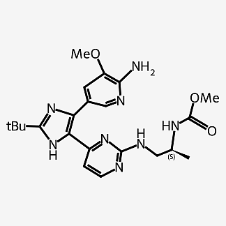 COC(=O)N[C@@H](C)CNc1nccc(-c2[nH]c(C(C)(C)C)nc2-c2cnc(N)c(OC)c2)n1